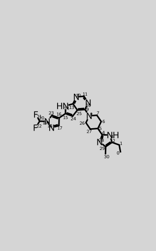 CCc1[nH]c(C2CCN(c3ncnc4[nH]c(-c5cnn(C(F)F)c5)cc34)CC2)nc1C